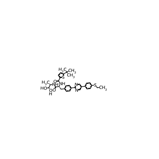 CCSc1ccc(-c2cnc(-c3ccc(C[C@H](NC(=O)c4ccc(C(C)(C)C)s4)C(=O)N[C@H](C)C(O)O)cc3)nc2)cc1